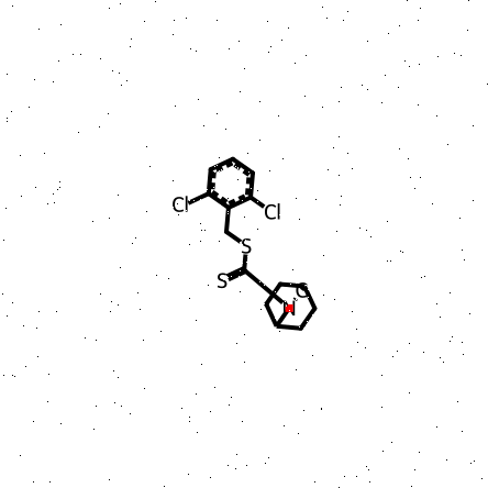 S=C(SCc1c(Cl)cccc1Cl)N1CC2CCC(CC2)C1